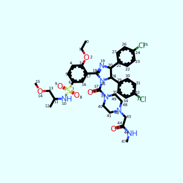 CCOc1ccc(S(=O)(=O)NC(C)COC)cc1C1=NC(c2ccc(Cl)cc2)C(c2ccc(Cl)cc2)N1C(=O)N1CCN(CC(=O)NC)CC1